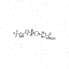 Cn1nc(-c2ccc(S(=O)(=O)N3CCN(c4ncc(C(=O)NO)cn4)CC3)s2)cc1C(F)(F)F